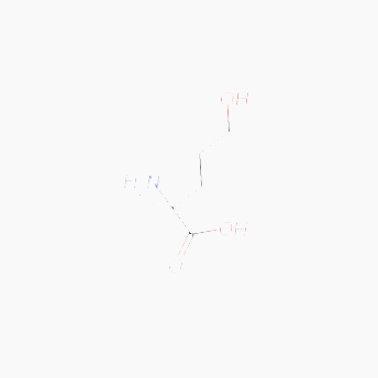 C[C@](N)(CCCO)C(=O)O